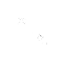 CNC(=O)NSCCSCc1cc(O)[nH]n1